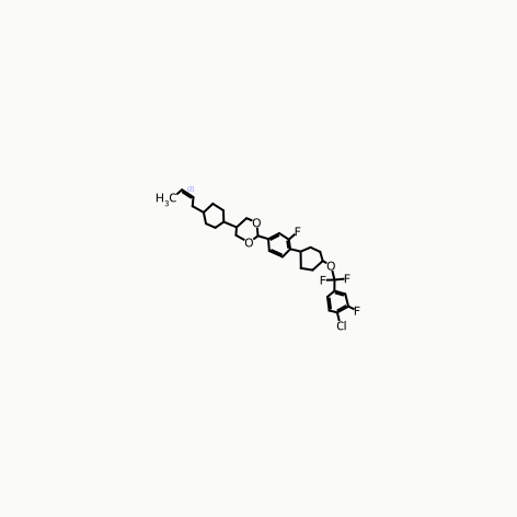 C/C=C\CC1CCC(C2COC(c3ccc(C4CCC(OC(F)(F)c5ccc(Cl)c(F)c5)CC4)c(F)c3)OC2)CC1